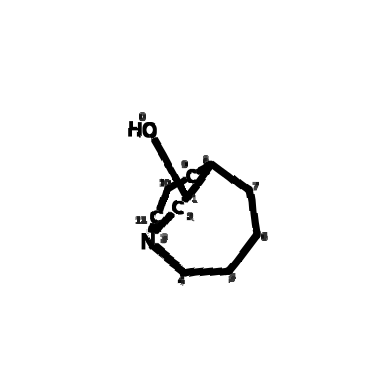 OC1CN2CCCCC1CCC2